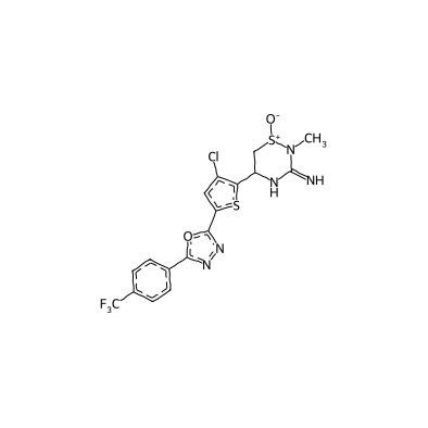 CN1C(=N)NC(c2sc(-c3nnc(-c4ccc(C(F)(F)F)cc4)o3)cc2Cl)C[S+]1[O-]